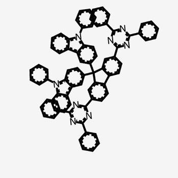 c1ccc(-c2nc(-c3ccccc3)nc(-c3ccc4c(c3)C(c3ccc5c(c3)c3ccccc3n5-c3ccccc3)(c3ccc5c(c3)c3ccccc3n5-c3ccccc3)c3cc(-c5nc(-c6ccccc6)nc(-c6ccccc6)n5)ccc3-4)n2)cc1